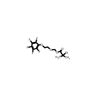 CCC(C)(C)C(=O)OCOCCOc1c(F)c(F)c(F)c(F)c1F